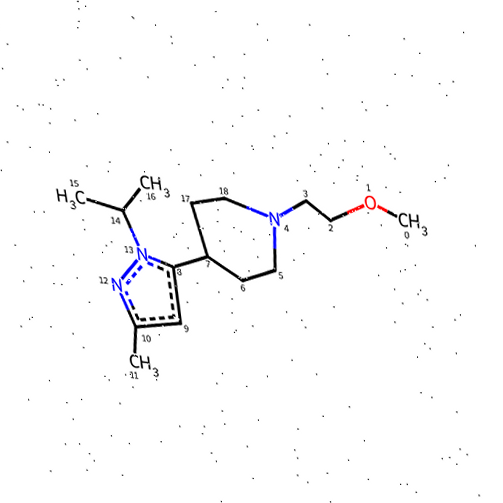 COCCN1CCC(c2cc(C)nn2C(C)C)CC1